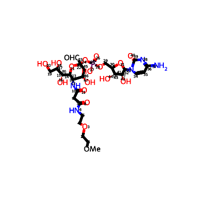 COCCOCCNC(=O)CC(=O)N[C@H]1C([C@H](O)[C@H](O)CO)OC(C=O)(OP(=O)(O)OCC2OC(n3ccc(N)nc3=O)[C@H](O)[C@@H]2O)C[C@H]1O